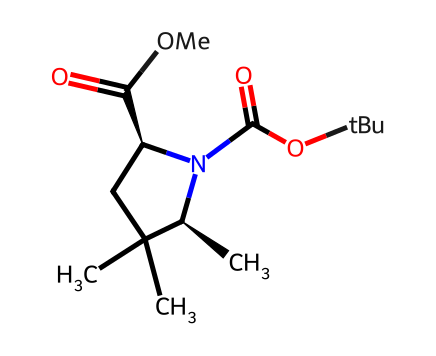 COC(=O)[C@@H]1CC(C)(C)[C@H](C)N1C(=O)OC(C)(C)C